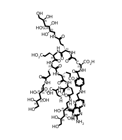 Nc1nc2ncc(CNc3ccc(C(=O)N[C@@H](CCC(=O)N[C@@H](CCC(=O)NC[C@H](O)[C@@H](O)[C@H](O)[C@H](O)CO)C(=O)N[C@H](CCC(=O)O)C(=O)N[C@@H](CCC(=O)NC[C@H](O)[C@@H](O)[C@H](O)[C@H](O)CO)C(=O)N[C@H](CCC(=O)O)C(=O)N[C@@H](CCC(=O)NC[C@H](O)[C@@H](O)[C@H](O)[C@H](O)CO)C(=O)NC(CS)C(=O)O)C(=O)O)cc3)nc2c(=O)[nH]1